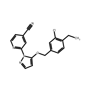 CCc1ccc(COc2ccnn2-c2cc(C#N)ccn2)cc1Cl